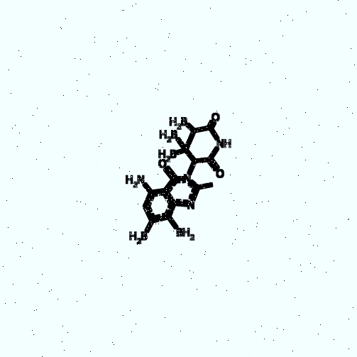 Bc1cc(N)c2c(=O)n(C3C(=O)NC(=O)C(B)C3(B)B)c(C)nc2c1B